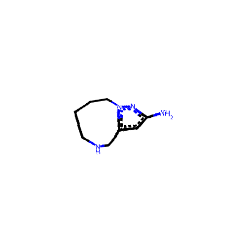 Nc1cc2n(n1)CCCCNC2